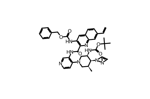 C=Cc1ccc2cc(NC(=O)OCc3ccccc3)c(C(=O)Nc3cnccc3N3C[C@H](C)[C@H](n4c5cn4-5)[C@H](NC(=O)OC(C)(C)C)C3)nc2c1